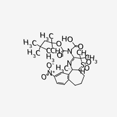 CC(C)(C)CC(C)(C)OC(=O)N(C(=O)O)C1=N[C@]2(C)c3cc([N+](=O)[O-])ccc3CCC[C@H]2S(=O)(=O)C1(C)C